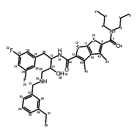 CCCN(CCC)C(=O)c1sc2sc(C(=O)NC(Cc3cc(F)cc(F)c3)C(O)CNCc3cccc(CC)c3)c(C)c2c1C